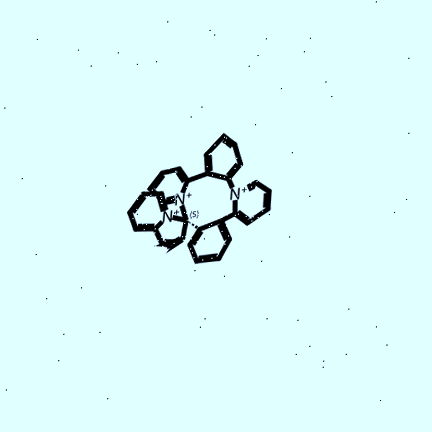 c1ccc2c(c1)-c1cccc[n+]1[C@@]1(c3ccccc3-c3cccc[n+]3-2)c2ccccc2-c2cccc[n+]21